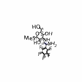 CSC1OC(CO)C(O)C(N/C=C(\N)c2c(F)c(F)c(F)c(F)c2F)C1O